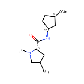 CO[C@@H]1CC[C@H](NC(=O)[C@@H]2CC(C)CN2C)C1